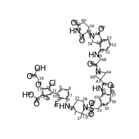 CC1(C)C[C@H](Nc2cccc(-c3sc(C(=O)O)c(OCC(=O)O)c3Cl)c2F)CCN1S(=O)(=O)Cc1ccc(F)c(NC(=O)C2CN(C(=O)CNc3cccc4c3CN(C3CCC(=O)NC3=O)C4=O)C2)c1